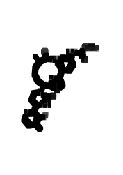 COC(=O)Nc1ccc2c(c1)NC(=O)[C@H](C)CCC[C@H](N1CCC(c3nccc(C)c3F)NC1=O)c1nc-2c[nH]1